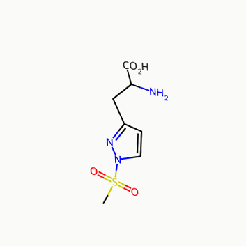 CS(=O)(=O)n1ccc(CC(N)C(=O)O)n1